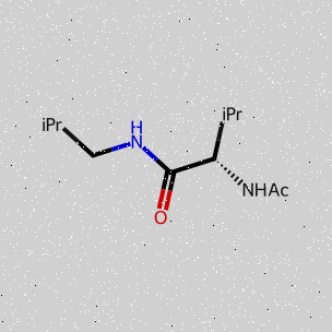 CC(=O)N[C@H](C(=O)NCC(C)C)C(C)C